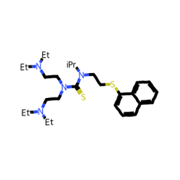 CCN(CC)CCN(CCN(CC)CC)C(=S)N(CCSc1cccc2ccccc12)C(C)C